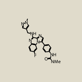 CNC(=O)Nc1ccc(-c2cnc3c(NCc4cnn(C)c4)nc4ccc(F)cc4n23)cc1